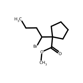 CCCC(Br)C1(C(=O)OC)CCCC1